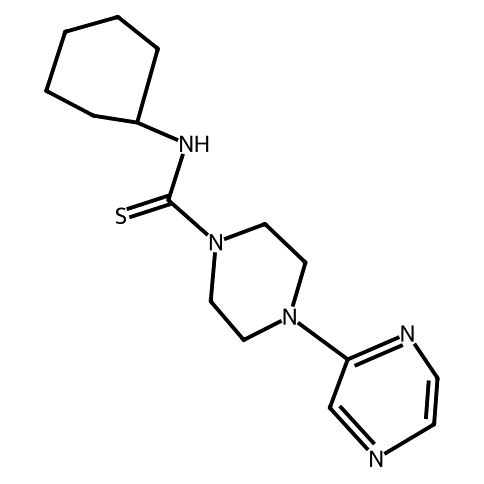 S=C(NC1CCCCC1)N1CCN(c2cnccn2)CC1